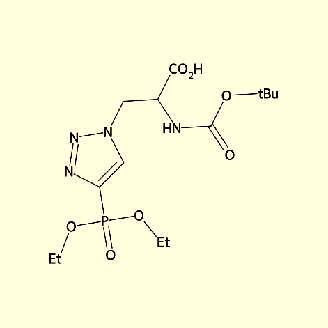 CCOP(=O)(OCC)c1cn(CC(NC(=O)OC(C)(C)C)C(=O)O)nn1